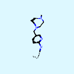 BB=Nc1ccc(CN2CCN(C)CC2)cn1